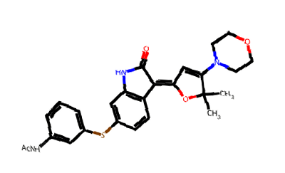 CC(=O)Nc1cccc(Sc2ccc3c(c2)NC(=O)/C3=C2\C=C(N3CCOCC3)C(C)(C)O2)c1